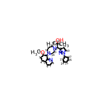 COc1ccc2cccnc2c1N1CCCN(C(c2ccn(-c3ccccc3)n2)C(C)(C)O)CC1